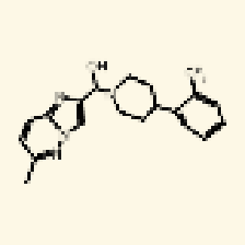 Cc1ccc2nc(C(O)N3CCC(c4ccccc4C(F)(F)F)CC3)cn2n1